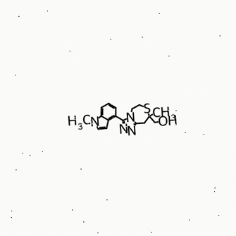 Cn1ccc2c(-c3nnc4n3CCSC(C)(CO)C4)cccc21